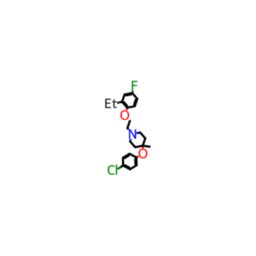 CCc1cc(F)ccc1OCCN1CCC(C)(Oc2ccc(Cl)cc2)CC1